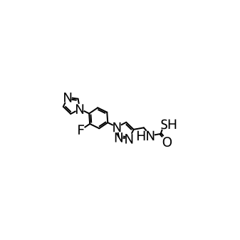 O=C(S)NCc1cn(-c2ccc(-n3ccnc3)c(F)c2)nn1